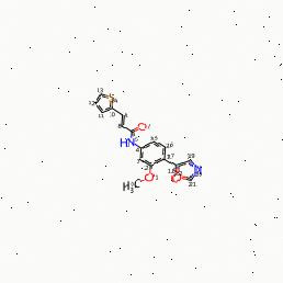 COc1cc(NC(=O)/C=C/c2cccs2)ccc1-c1cnco1